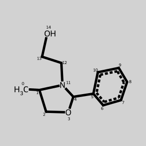 CC1COC(c2ccccc2)N1CCO